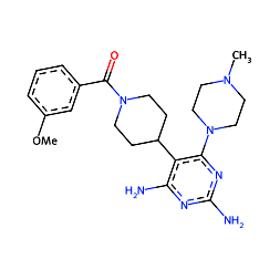 COc1cccc(C(=O)N2CCC(c3c(N)nc(N)nc3N3CCN(C)CC3)CC2)c1